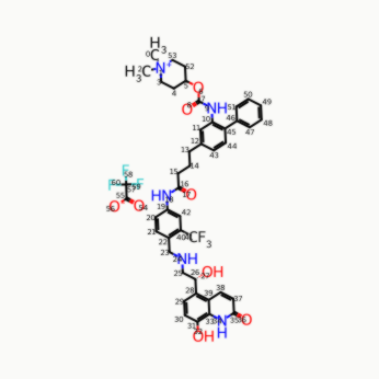 C[N+]1(C)CCC(OC(=O)Nc2cc(CCCC(=O)Nc3ccc(CNC[C@H](O)c4ccc(O)c5[nH]c(=O)ccc45)c(C(F)(F)F)c3)ccc2-c2ccccc2)CC1.O=C([O-])C(F)(F)F